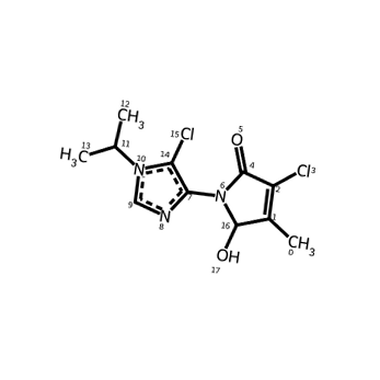 CC1=C(Cl)C(=O)N(c2ncn(C(C)C)c2Cl)C1O